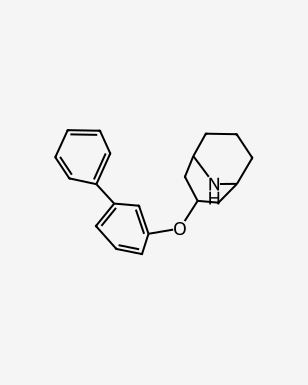 c1ccc(-c2cccc(OC3CC4CCCC(C3)N4)c2)cc1